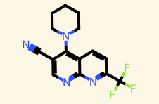 N#Cc1cnc2nc(C(F)(F)F)ccc2c1N1CCCCC1